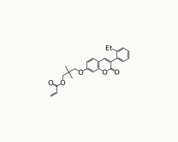 C=CC(=O)OCC(C)(C)COc1ccc2cc(-c3ccccc3CC)c(=O)oc2c1